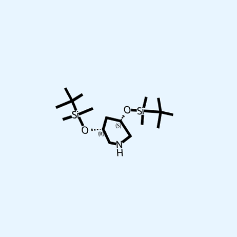 CC(C)(C)[Si](C)(C)O[C@@H]1CNC[C@H](O[Si](C)(C)C(C)(C)C)C1